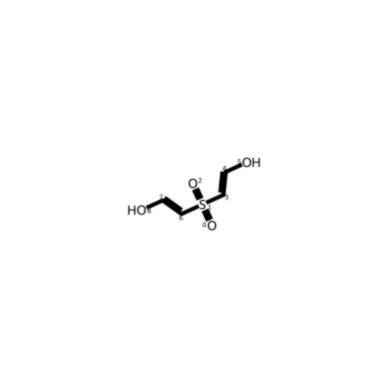 O=S(=O)(C=CO)C=CO